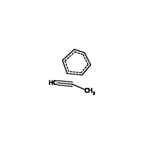 C#CC.c1ccccc1